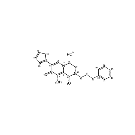 Cl.O=C1c2c(O)c(=O)c(-c3nccs3)cn2CCN1CCCc1ccccc1